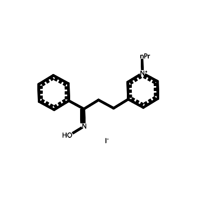 CCC[n+]1cccc(CCC(=NO)c2ccccc2)c1.[I-]